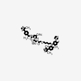 CC(=O)O[C@@H]1C[C@@H](C(=O)N[C@@H](C)c2ccc(-c3scnc3C)cc2)N(C(=O)[C@@H](NC(=O)COCCCCCN(c2ccc(F)c(-n3ccnc3)c2)c2cc(-c3c(C)noc3C)ccc2C)C(C)(C)C)C1